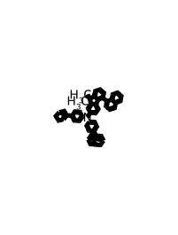 CC1(C)c2cc(N(c3ccc(C4CC5CCC4C5)cc3)c3ccc(C45CC6CC(CC(C6)C4)C5)cc3)ccc2-c2c(-c3cccc4ccccc34)cccc21